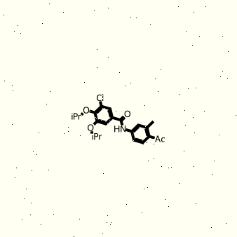 CC(=O)c1ccc(NC(=O)c2cc(Cl)c(OC(C)C)c(OC(C)C)c2)cc1C